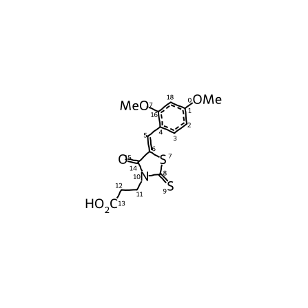 COc1ccc(/C=C2\SC(=S)N(CCC(=O)O)C2=O)c(OC)c1